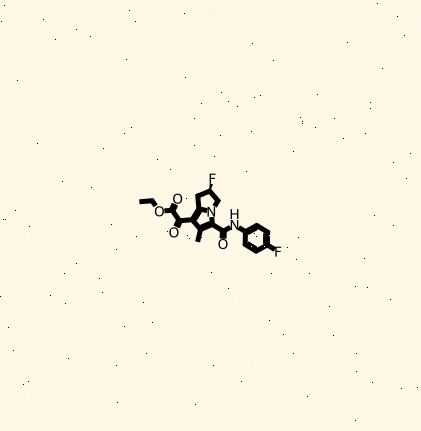 CCOC(=O)C(=O)c1c(C)c(C(=O)Nc2ccc(F)cc2)n2c1C[C@@H](F)C2